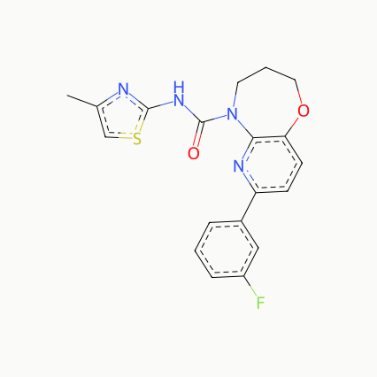 Cc1csc(NC(=O)N2CCCOc3ccc(-c4cccc(F)c4)nc32)n1